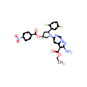 CCOC(=O)c1c(N)nn2cnc(N3C[C@@H](OC(=O)c4ccc([N+](=O)[O-])cc4)CC3c3cc(F)ccc3F)cc12